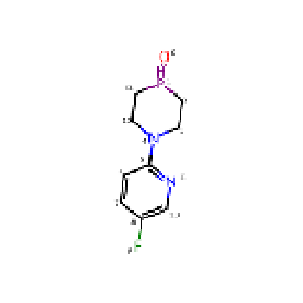 O=[PH]1CCN(c2ccc(F)cn2)CC1